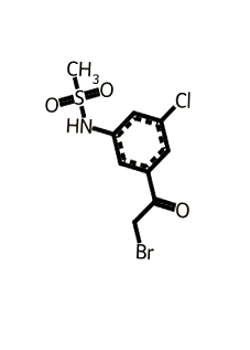 CS(=O)(=O)Nc1cc(Cl)cc(C(=O)CBr)c1